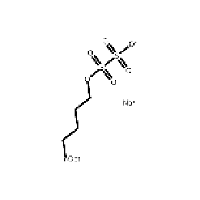 CCCCCCCCCCCCOS(=O)(=O)S(=O)(=O)[O-].[Na+]